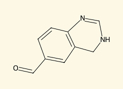 O=Cc1ccc2c(c1)CNC=N2